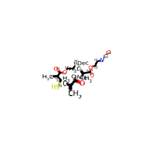 C=C(C)C(=O)OC.C=C(C)C(=O)OCCN=C=O.C=C(CS)C(=O)OCCCCCCCCCCCC